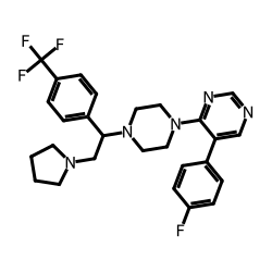 Fc1ccc(-c2cncnc2N2CCN(C(CN3CCCC3)c3ccc(C(F)(F)F)cc3)CC2)cc1